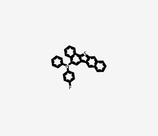 Fc1ccc(N(c2ccccc2)c2cc3c4cc5ccccc5cc4sc3c3ccccc23)cc1